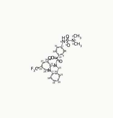 CN(C)S(=O)(=O)Nc1ccc(S(=O)(=O)N(Cc2ccccc2)c2ncc(C(F)(F)F)cc2Cl)cc1